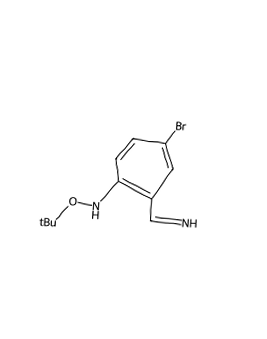 CC(C)(C)ONc1ccc(Br)cc1C=N